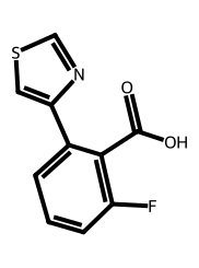 O=C(O)c1c(F)cccc1-c1cscn1